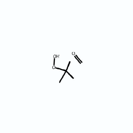 C=O.CC(C)(C)OO